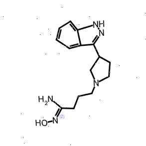 N/C(CCCN1CCC(c2n[nH]c3ccccc23)C1)=N\O